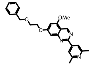 COc1cc(OCCOCc2ccccc2)cc2nc(-c3cc(C)nc(C)c3)ncc12